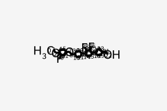 CCOc1ccc(OCC2CCC(c3ccc(-c4ccc(CO)cc4)c(F)c3F)CC2)cc1F